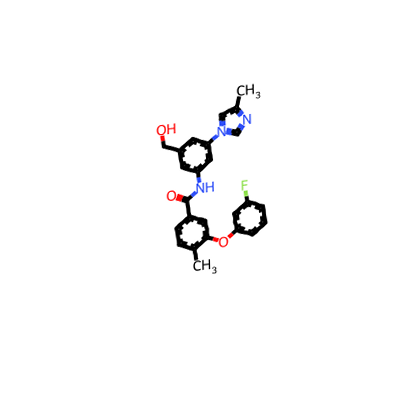 Cc1cn(-c2cc(CO)cc(NC(=O)c3ccc(C)c(Oc4cccc(F)c4)c3)c2)cn1